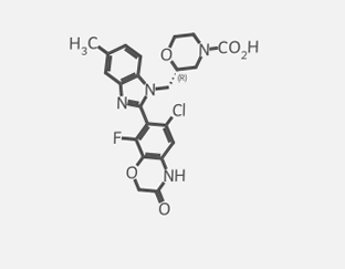 Cc1ccc2c(c1)nc(-c1c(Cl)cc3c(c1F)OCC(=O)N3)n2C[C@H]1CN(C(=O)O)CCO1